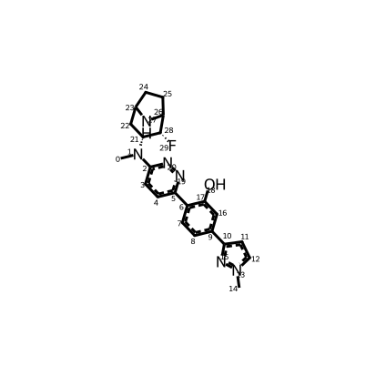 CN(c1ccc(-c2ccc(-c3ccn(C)n3)cc2O)nn1)[C@@H]1CC2CCC(N2)[C@@H]1F